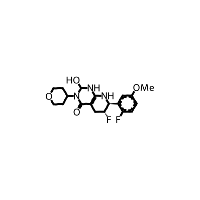 COc1ccc(F)c([C@@H]2NC3=C(C[C@H]2F)C(=O)N(C2CCOCC2)C(O)N3)c1